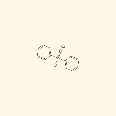 O=P(O)(c1ccccc1)c1ccccc1.[Cr]